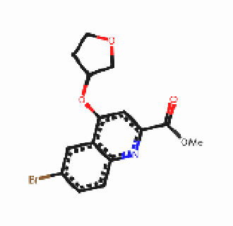 COC(=O)c1cc(OC2CCOC2)c2cc(Br)ccc2n1